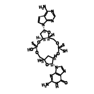 Nc1nc2c(ncn2[C@@H]2O[C@@H]3COP(O)(=S)O[C@H]4C[C@H](n5ccc6c(N)ncnc65)O[C@@H]4COP(=S)(S)O[C@@H]2C3)c(=O)[nH]1